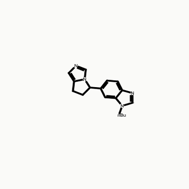 CCCCn1[c]nc2ccc(C3CCc4cncn43)cc21